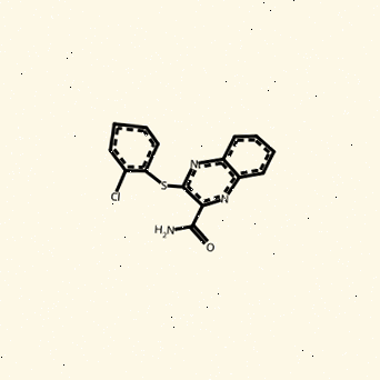 NC(=O)c1nc2ccccc2nc1Sc1ccccc1Cl